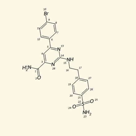 NC(=O)c1cc(-c2ccc(Br)cc2)nc(NCCc2ccc(S(N)(=O)=O)cc2)n1